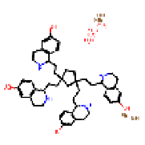 Br.Br.Br.Br.O.O.O.O.Oc1ccc2c(c1)CCNC2CCC1(CCC2NCCc3cc(O)ccc32)CCC(CCC2NCCc3cc(O)ccc32)(CCC2NCCc3cc(O)ccc32)C1